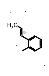 C/C=C/c1ccccc1I